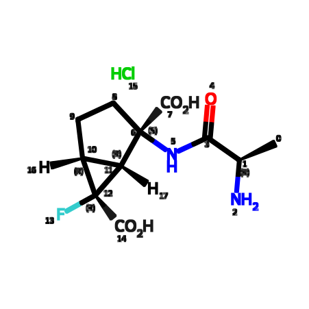 C[C@@H](N)C(=O)N[C@@]1(C(=O)O)CC[C@@H]2[C@H]1[C@@]2(F)C(=O)O.Cl